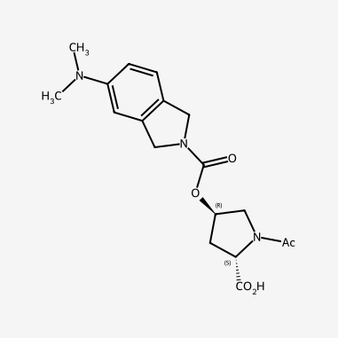 CC(=O)N1C[C@H](OC(=O)N2Cc3ccc(N(C)C)cc3C2)C[C@H]1C(=O)O